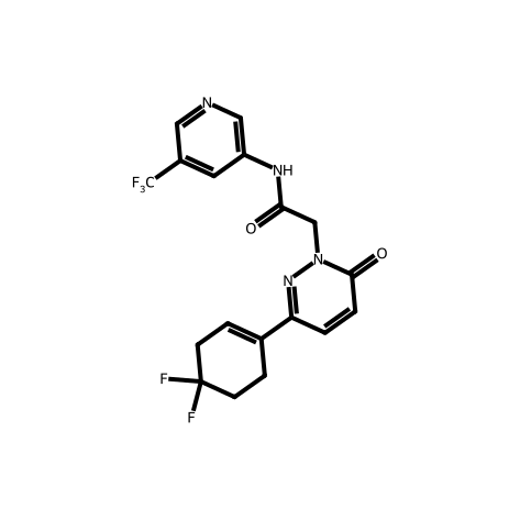 O=C(Cn1nc(C2=CCC(F)(F)CC2)ccc1=O)Nc1cncc(C(F)(F)F)c1